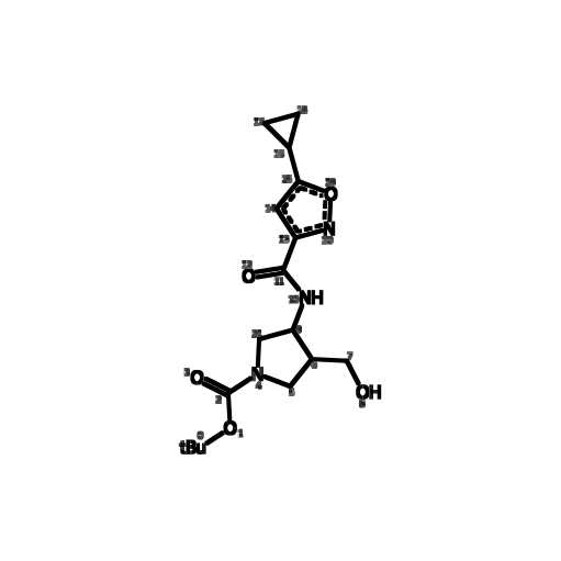 CC(C)(C)OC(=O)N1CC(CO)C(NC(=O)c2cc(C3CC3)on2)C1